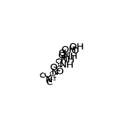 [C-]#[N+]C(=C1CCN(C(=O)C(=O)c2c[nH]c3c(NC(=O)NC(CCC(=O)O)C(=O)O)cccc23)CC1)c1ccccc1